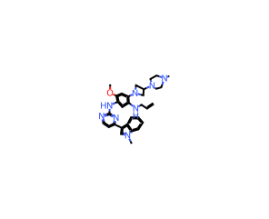 C=CCNc1cc(Nc2nccc(-c3cn(C)c4ccccc34)n2)c(OC)cc1N1CC(N2CCN(C)CC2)C1